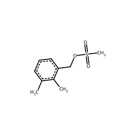 Cc1cccc(COS(C)(=O)=O)c1C